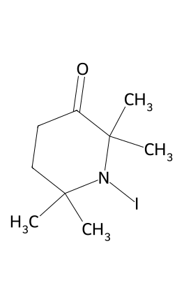 CC1(C)CCC(=O)C(C)(C)N1I